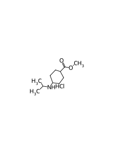 COC(=O)C1CCC(NC(C)C)CC1.Cl